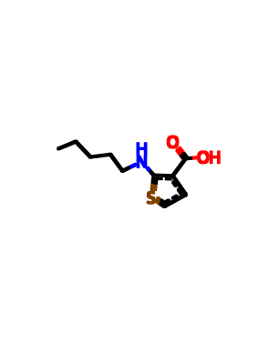 CCCCCNc1sccc1C(=O)O